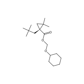 CC(C)(C)C[C@@]1(C(=O)OCOC2CCCCC2)CC1(C)C